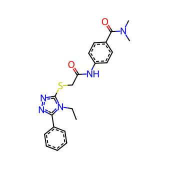 CCn1c(SCC(=O)Nc2ccc(C(=O)N(C)C)cc2)nnc1-c1ccccc1